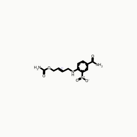 NC(=O)OC/C=C/CNc1ccc(C(N)=O)cc1[N+](=O)[O-]